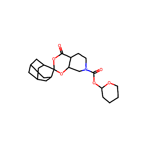 O=C1OC2(OC3CN(C(=O)OC4CCCCO4)CCC13)C1CC3CC(C1)CC2C3